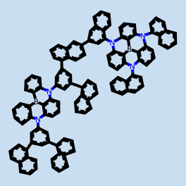 c1ccc2c(c1)B1c3ccccc3N(c3cc(-c4cccc5ccccc45)cc(-c4cccc5cc(-c6cc(N7c8cccc9c8B8c%10c(cccc%10N(c%10cccc%11ccccc%10%11)c%10cccc7c%108)N9c7cccc8ccccc78)c7ccccc7c6)ccc45)c3)c3cccc(c31)N2c1cc(-c2cccc3ccccc23)cc(-c2cccc3ccccc23)c1